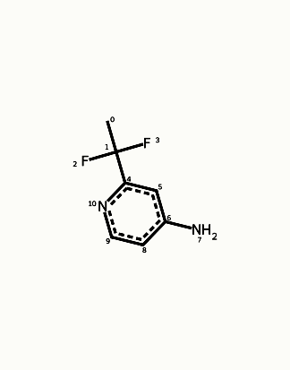 CC(F)(F)c1cc(N)ccn1